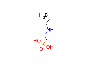 BCCNCCP(=O)(O)O